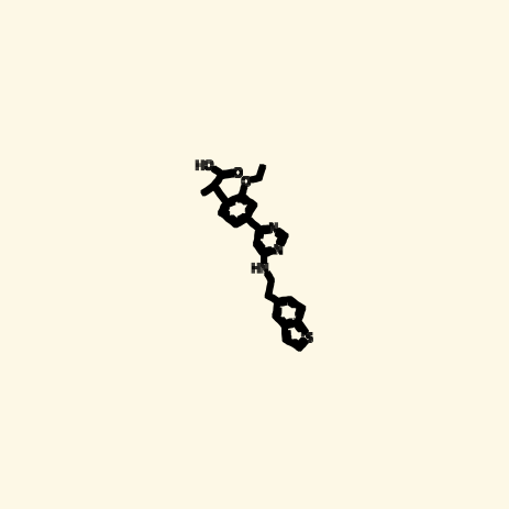 CCOc1cc(-c2cc(NCCc3ccc4sccc4c3)ncn2)ccc1C(C)C(=O)O